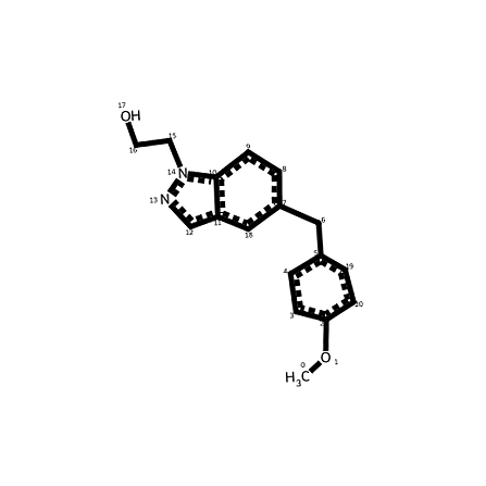 COc1ccc(Cc2ccc3c(cnn3CCO)c2)cc1